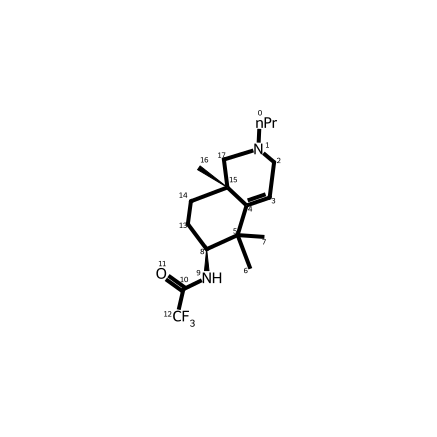 CCCN1CC=C2C(C)(C)[C@@H](NC(=O)C(F)(F)F)CC[C@]2(C)C1